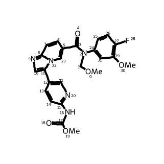 COCN(C(=O)c1ccc2ncc(-c3ccc(NC(=O)OC)nc3)n2c1)c1ccc(F)c(OC)c1